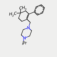 CC(C)N1CCN(CC2=C(c3ccccc3)CC(C)(C)CC2)CC1